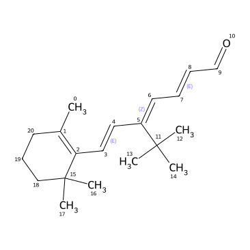 CC1=C(/C=C/C(=C/C=C/C=O)C(C)(C)C)C(C)(C)CCC1